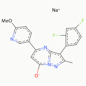 COc1ccc(-c2cc([O-])n3nc(C)c(-c4ccc(F)cc4F)c3n2)cn1.[Na+]